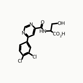 O=C(NC(CO)C(=O)O)c1cc(-c2ccc(Cl)c(Cl)c2)ncn1